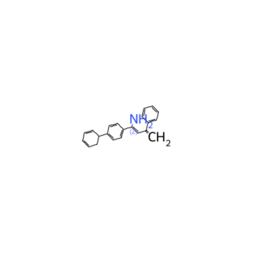 C=C(/C=C(\N)c1ccc(C2C=CC=CC2)cc1)c1ccccc1